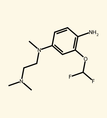 CN(C)CCN(C)c1ccc(N)c(OC(F)F)c1